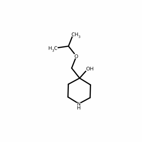 CC(C)OCC1(O)CCNCC1